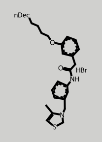 Br.CCCCCCCCCCCCCCOc1cccc(CC(=O)Nc2cccc(CN3CSC=C3C)c2)c1